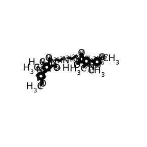 COc1ccc2c(c1)c1cc3c(c(C)c1n2C)C(=O)N(CCCNCCCN1C(=O)c2cc4c5cc(OC)ccc5n(C)c4c(C)c2C1=O)C3=O